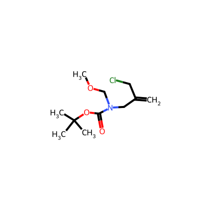 C=C(CCl)CN(COC)C(=O)OC(C)(C)C